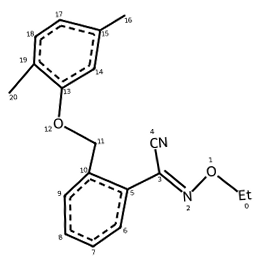 CCO/N=C(\C#N)c1ccccc1COc1cc(C)ccc1C